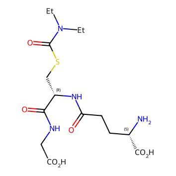 CCN(CC)C(=O)SC[C@H](NC(=O)CC[C@H](N)C(=O)O)C(=O)NCC(=O)O